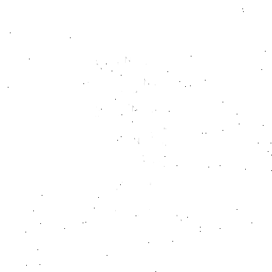 N#Cc1cccc(CC(=O)N2CCN(c3ncnc4[nH]cc(Cl)c34)CC23CC3)c1